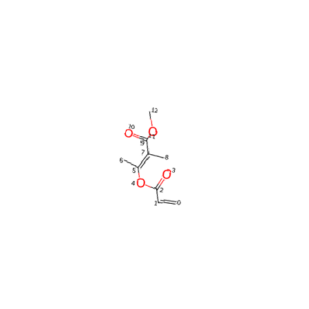 C=CC(=O)OC(C)=C(C)C(=O)OC